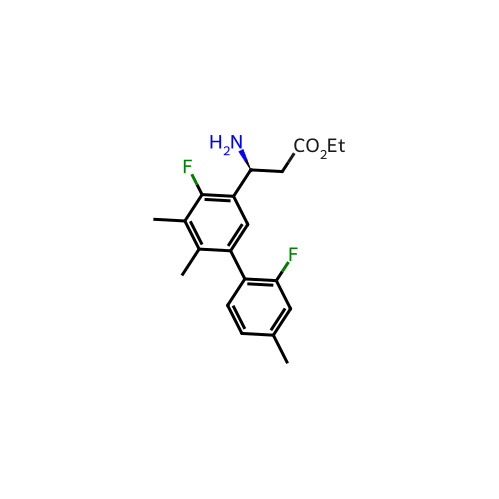 CCOC(=O)C[C@H](N)c1cc(-c2ccc(C)cc2F)c(C)c(C)c1F